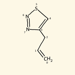 C=CCc1[c]snn1